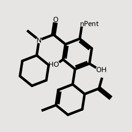 C=C(C)C1CCC(C)=CC1c1c(O)cc(CCCCC)c(C(=O)N(C)C2CCCCC2)c1O